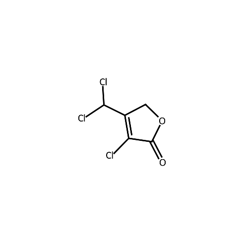 O=C1OCC(C(Cl)Cl)=C1Cl